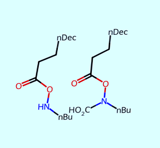 CCCCCCCCCCCCC(=O)ON(CCCC)C(=O)O.CCCCCCCCCCCCC(=O)ONCCCC